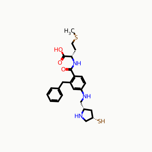 CSCC[C@H](NC(=O)c1ccc(NC[C@@H]2C[C@H](S)CN2)cc1Cc1ccccc1)C(=O)O